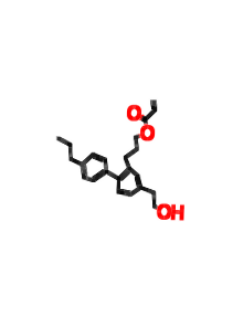 C=CC(=O)OCCCc1cc(CCO)ccc1-c1ccc(CCC)cc1